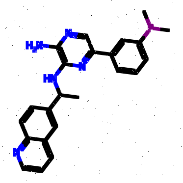 CC(Nc1nc(-c2cccc(P(C)C)c2)cnc1N)c1ccc2ncccc2c1